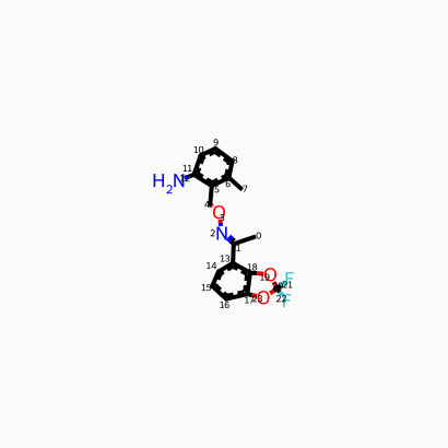 C/C(=N\OCc1c(C)cccc1N)c1cccc2c1OC(F)(F)O2